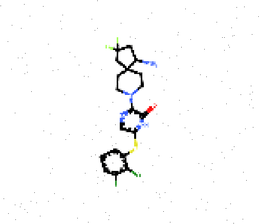 NC1CC(F)(F)CC12CCN(c1ncc(Sc3cccc(Cl)c3Cl)[nH]c1=O)CC2